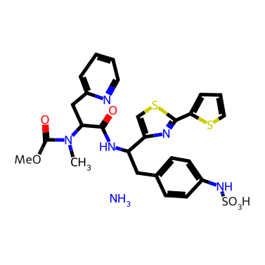 COC(=O)N(C)C(Cc1ccccn1)C(=O)NC(Cc1ccc(NS(=O)(=O)O)cc1)c1csc(-c2cccs2)n1.N